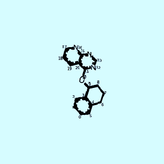 c1ccc2c(c1)CCCC2Oc1ncnc2ncccc12